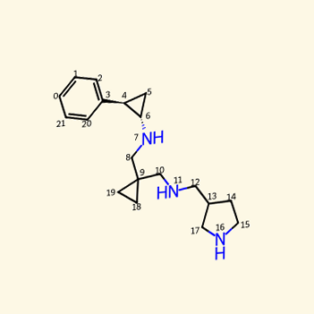 c1ccc([C@H]2C[C@@H]2NCC2(CNCC3CCNC3)CC2)cc1